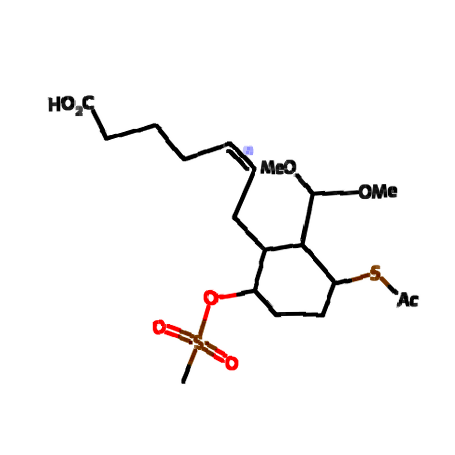 COC(OC)C1C(SC(C)=O)CCC(OS(C)(=O)=O)C1C/C=C\CCCC(=O)O